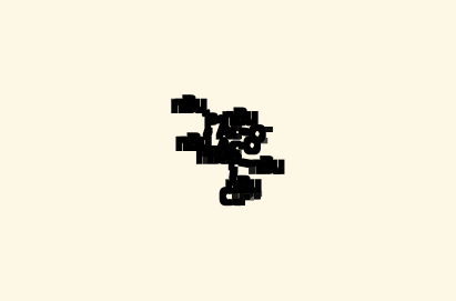 CC(=O)[O-].CC(=O)[O-].CCCCP(CCCC)CCCC.CCCCP(CCCC)CCCC.[Cu+2]